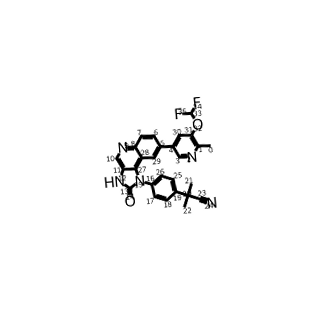 Cc1ncc(-c2ccc3ncc4[nH]c(=O)n(-c5ccc(C(C)(C)C#N)cc5)c4c3c2)cc1OC(F)F